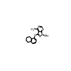 CC(C)(C)n1nc(Oc2cccc3c2CCCC3)c2c(N)ncnc21